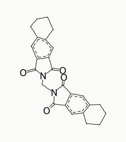 O=C1c2cc3c(cc2C(=O)N1CN1C(=O)c2cc4c(cc2C1=O)CCCC4)CCCC3